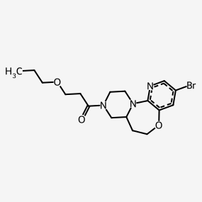 CCCOCCC(=O)N1CCN2c3ncc(Br)cc3OCCC2C1